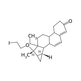 CCC12CCC3C4CCC(=O)C=C4C=CC3C1[C@@H]1CC1[C@]2(C)OCCI